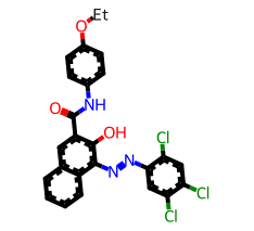 CCOc1ccc(NC(=O)c2cc3ccccc3c(N=Nc3cc(Cl)c(Cl)cc3Cl)c2O)cc1